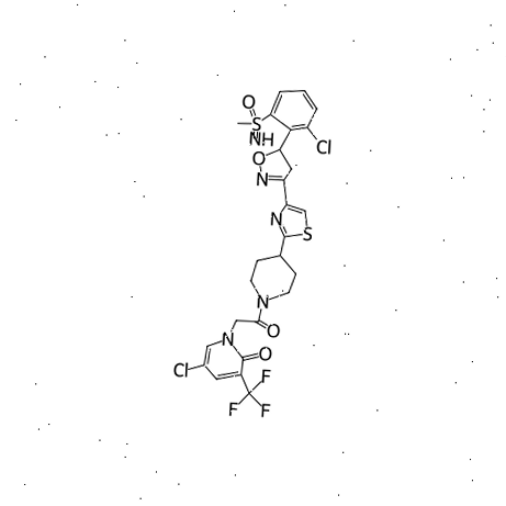 CS(=N)(=O)c1cccc(Cl)c1C1CC(c2csc(C3CCN(C(=O)Cn4cc(Cl)cc(C(F)(F)F)c4=O)CC3)n2)=NO1